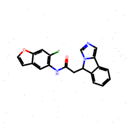 O=C(CC1c2ccccc2-c2cncn21)Nc1cc2ccoc2cc1F